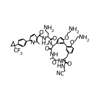 Cc1nc(-c2ccc(C3(C(F)(F)F)CC3)cc2)ccc1C(=O)NC(CCN)C(=O)N(C)C1C(=O)NC(C)C(=O)NC(C(=O)NCC#N)Cc2ccc(OCCN)c(c2)-c2cc1ccc2OCCN